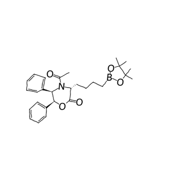 CC(=O)N1[C@H](CCCCB2OC(C)(C)C(C)(C)O2)C(=O)O[C@@H](c2ccccc2)[C@H]1c1ccccc1